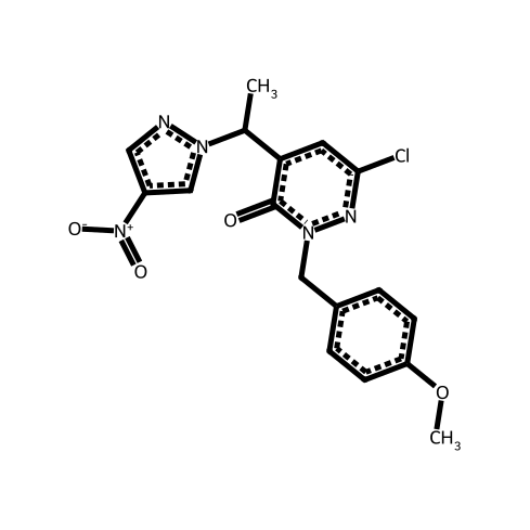 COc1ccc(Cn2nc(Cl)cc(C(C)n3cc([N+](=O)[O-])cn3)c2=O)cc1